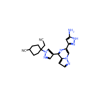 N#CCC1(n2cc(-c3nc(-c4cc(N)[nH]n4)cn4nccc34)cn2)CCC(C#N)CC1